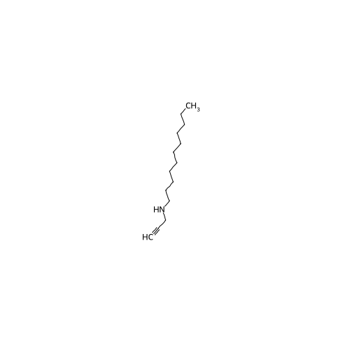 C#CCNCCCCCCCCCCC